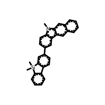 Cn1c2ccc(-c3ccc4c(c3)[Si](C)(C)c3ccccc3-4)cc2c2cc3ccccc3cc21